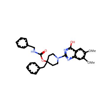 COc1cc2nc(N3CCC(Cc4ccccc4)(OC(=O)NCc4ccccc4)CC3)nc(O)c2cc1OC